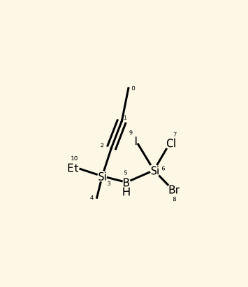 CC#C[Si](C)(B[Si](Cl)(Br)I)CC